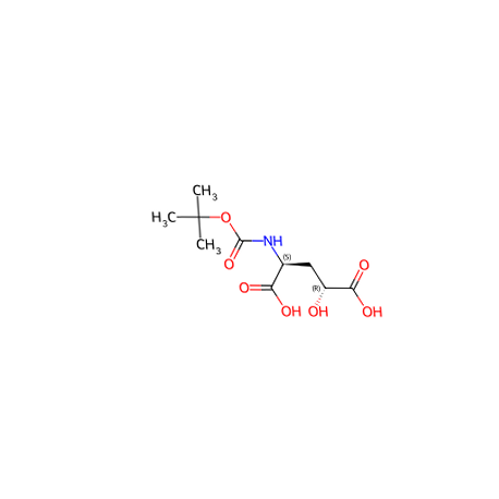 CC(C)(C)OC(=O)N[C@@H](C[C@@H](O)C(=O)O)C(=O)O